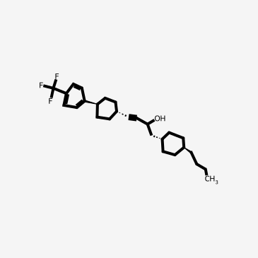 CCCC[C@H]1CC[C@H](CC(O)C#C[C@H]2CC[C@H](c3ccc(C(F)(F)F)cc3)CC2)CC1